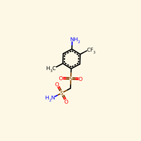 Cc1cc(N)c(C(F)(F)F)cc1S(=O)(=O)CS(N)(=O)=O